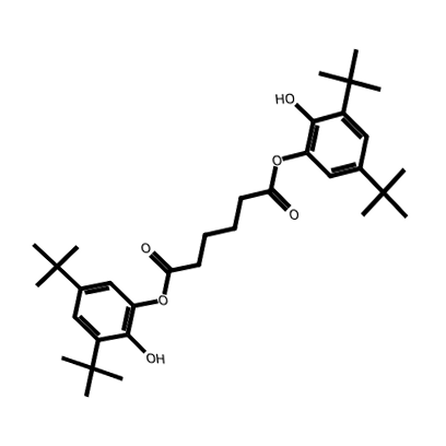 CC(C)(C)c1cc(OC(=O)CCCCC(=O)Oc2cc(C(C)(C)C)cc(C(C)(C)C)c2O)c(O)c(C(C)(C)C)c1